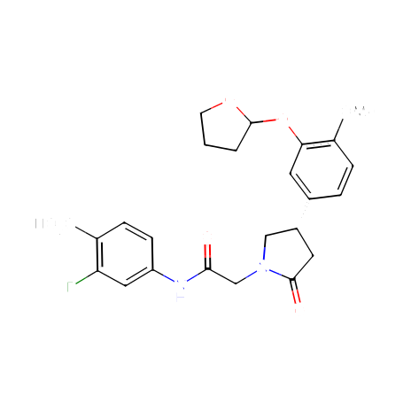 COc1ccc([C@@H]2CC(=O)N(CC(=O)Nc3ccc(C(=O)O)c(F)c3)C2)cc1OC1CCCO1